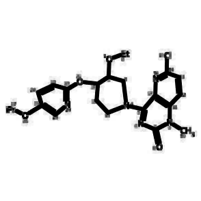 CCOC1CN(c2nc(=O)n(C)c3ccc(Cl)nc23)CCC1Oc1ccc(OC(C)C)cn1